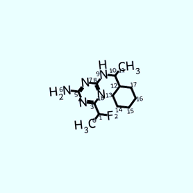 CC(F)c1nc(N)nc(NC(C)C2CCCCC2)n1